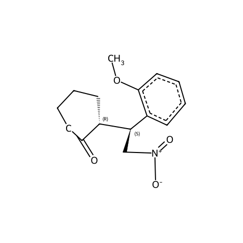 COc1ccccc1[C@@H](C[N+](=O)[O-])[C@H]1CCCCC1=O